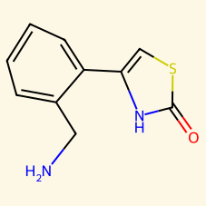 NCc1ccccc1-c1csc(=O)[nH]1